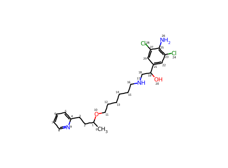 CC(CCc1ccccn1)OCCCCCCNCC(O)c1cc(Cl)c(N)c(Cl)c1